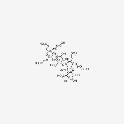 C=CCO[C@@H]1OC(COS(=O)(=O)O)[C@H](OSOOO)[C@H](O[C@@H]2OC(C(=O)O)[C@@H](O[C@@H]3OC(COS(=O)(=O)O)[C@H](OSOOO)[C@H](O[C@@H]4OC(C(=O)O)[C@@H](O)[C@H](O)C4O)C3NC(C)=O)[C@H](O)C2O)C1NC(C)=O